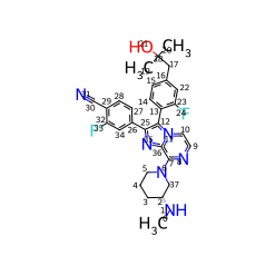 CN[C@@H]1CCCN(c2nccn3c(-c4ccc(CC(C)(C)O)cc4F)c(-c4ccc(C#N)c(F)c4)nc23)C1